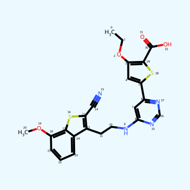 CCOc1cc(-c2cc(NCCc3c(C#N)sc4c(OC)cccc34)ncn2)sc1C(=O)O